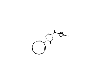 CC(=O)NC12CC(C(=O)N3CCN(C4/C=C\CCCCCCCC4)C(=O)C3)(C1)C2